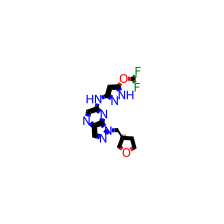 FC(F)Oc1cc(Nc2cnc3cnn(C[C@H]4CCOC4)c3n2)n[nH]1